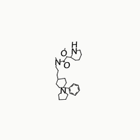 COC(C(=O)N(C)CCCC1CCC(c2ccccc2)(N2CCCC2)CC1)C1CCCCN1